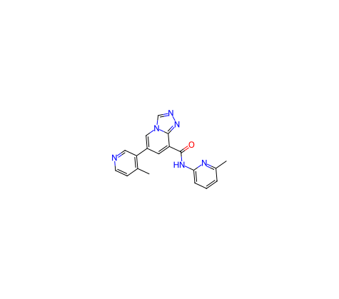 Cc1cccc(NC(=O)c2cc(-c3cnccc3C)cn3cnnc23)n1